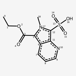 CCOC(=O)c1c2cccnc2c(S(=O)(=O)O)n1C